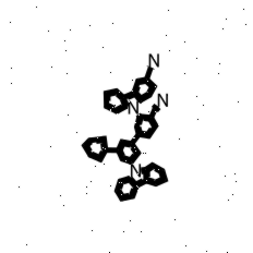 N#Cc1ccc2c(c1)c1ccccc1n2-c1cc(-c2cc(-c3ccccc3)cc(-n3c4ccccc4c4ccccc43)c2)ccc1C#N